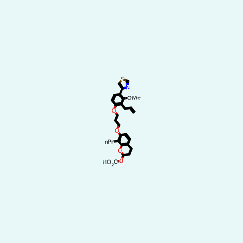 C=CCc1c(OCCCOc2ccc3c(c2CCC)OC(OC(=O)O)CC3)ccc(-c2cscn2)c1OC